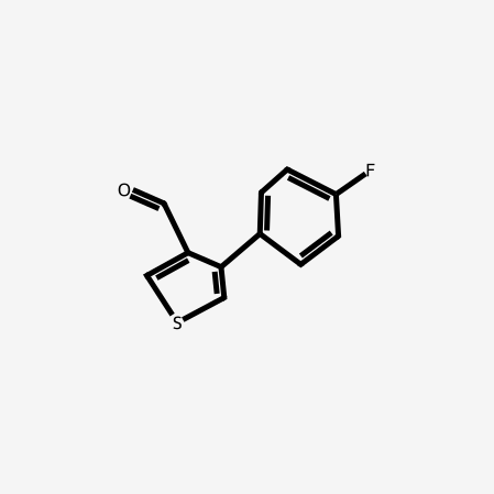 O=Cc1cscc1-c1ccc(F)cc1